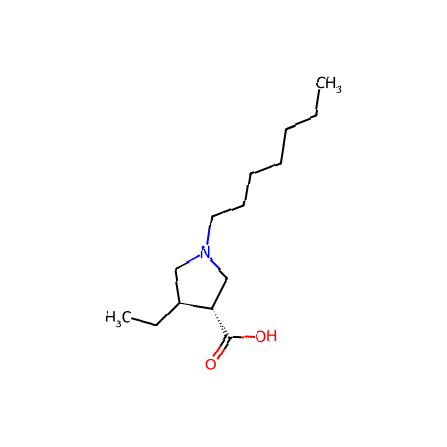 CCCCCCCN1CC(CC)[C@@H](C(=O)O)C1